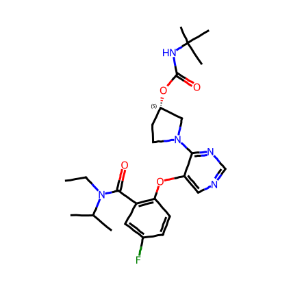 CCN(C(=O)c1cc(F)ccc1Oc1cncnc1N1CC[C@H](OC(=O)NC(C)(C)C)C1)C(C)C